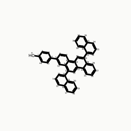 Oc1ccc(-c2ccc3c(c2)c(-c2cccc4ccccc24)cc2c4ccccc4c(-c4cccc5ccccc45)cc32)cc1